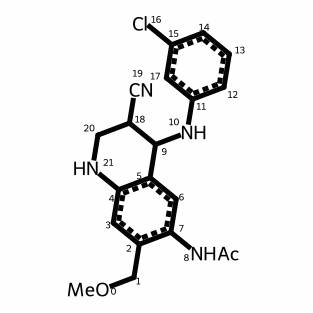 COCc1cc2c(cc1NC(C)=O)C(Nc1cccc(Cl)c1)C(C#N)CN2